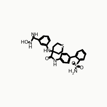 N=C(NO)c1cccc(NC2(C(=O)Nc3ccc(-c4ccccc4S(N)(=O)=O)cc3)CCSCC2)c1